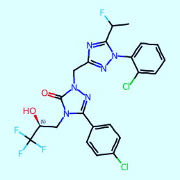 CC(F)c1nc(Cn2nc(-c3ccc(Cl)cc3)n(C[C@H](O)C(F)(F)F)c2=O)nn1-c1ccccc1Cl